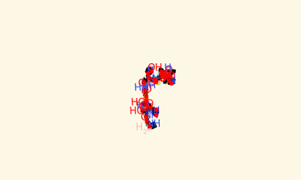 BC1(N[C@H](C)CCC(=O)N[C@@H](CC(=O)O)C(=O)N[C@@H](Cc2ccccc2)C(=O)N[C@@H](CSSCCOC(=O)NNC(=O)[C@@H](C)C[C@H](Cc2ccc(O)cc2)NC(=O)c2csc([C@H](C[C@H](C(C)C)N(COC(=O)CCC)C(=O)[C@@H](NC(=O)[C@H]3CCCCN3C)C(C)CC)OC(C)=O)n2)C(=O)O)CCC1